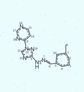 Cc1cccc(C=NNc2ncn(-c3ccncn3)n2)c1